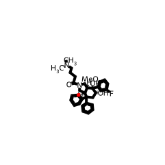 COc1ccc(F)cc1[C@@]1(O)[C@H](O)CC(c2ccccc2)(c2ccccc2)[C@@H]2CN(C(=O)CCCN(C)C)C[C@@H]21